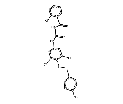 O=C(NC(=O)c1ccccc1Cl)Nc1cc(Cl)c(OCc2ccc([N+](=O)[O-])cc2)c(Cl)c1